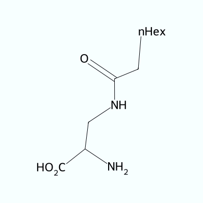 CCCCCCCC(=O)NCC(N)C(=O)O